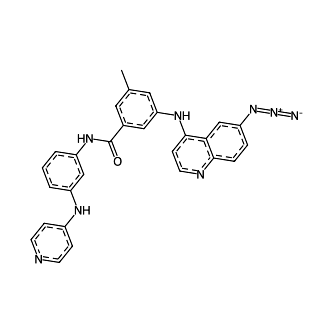 Cc1cc(Nc2ccnc3ccc(N=[N+]=[N-])cc23)cc(C(=O)Nc2cccc(Nc3ccncc3)c2)c1